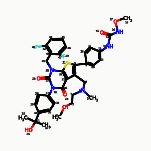 COCCN(C)Cc1c(-c2ccc(NC(=O)NOC)cc2)sc2c1c(=O)n(-c1ccc(C(C)(C)O)cc1)c(=O)n2Cc1c(F)cccc1F